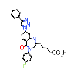 O=C(O)CCCCC1=NC2=CC(n3cc(C4=CCCC=C4)nn3)CC=C2C(=O)N(c2ccc(F)cc2)C1